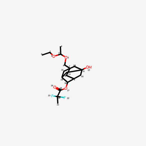 CCOC(C)OCC12CC3CC(O)(CC(C1)C3OC(=O)C(C)(F)F)C2